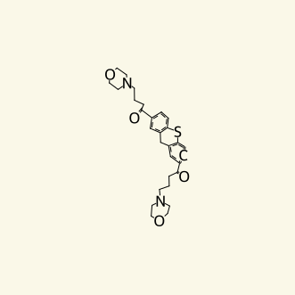 O=C(CCCN1CCOCC1)c1ccc2c(c1)Cc1cc(C(=O)CCCN3CCOCC3)ccc1S2